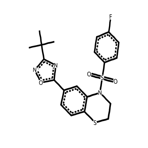 CC(C)(C)c1noc(-c2ccc3c(c2)N(S(=O)(=O)c2ccc(F)cc2)CCS3)n1